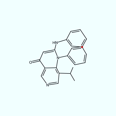 CC(C)c1cncc2c(=O)cc(Nc3ccccc3)n(-c3ccccc3)c12